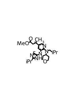 COC(=O)C[C@@H](C)c1cnc(N(CC(C)C)C2CCOCC2)c(Nc2nc(C(C)C)ns2)c1